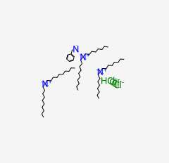 CCCCCCCCCC[N+](C)(C)CCCCCCCC.CCCCCCCCCC[N+](C)(C)CCCCCCCCCC.CCCCCCCC[N+](C)(C)CCCCCCCC.CN(C)Cc1ccccc1.Cl.[Cl-].[Cl-].[Cl-]